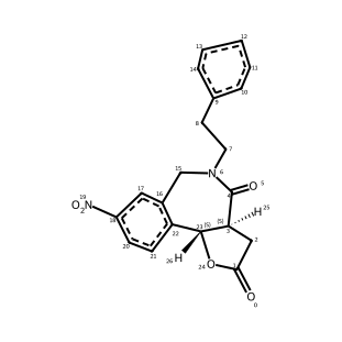 O=C1C[C@@H]2C(=O)N(CCc3ccccc3)Cc3cc([N+](=O)[O-])ccc3[C@H]2O1